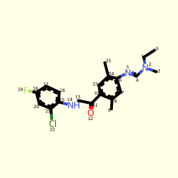 CCN(C)C=Nc1cc(C)c(C(=O)CNc2ccc(F)cc2Cl)cc1C